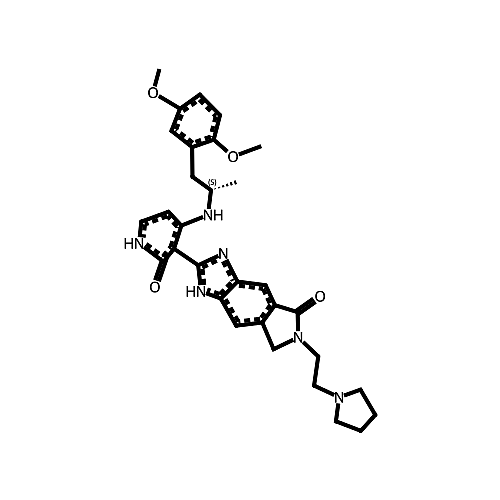 COc1ccc(OC)c(C[C@H](C)Nc2cc[nH]c(=O)c2-c2nc3cc4c(cc3[nH]2)CN(CCN2CCCC2)C4=O)c1